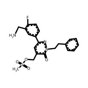 CS(=O)(=O)OCc1cc(-c2ccc(F)c(CN)c2)nn(CCc2ccccc2)c1=O